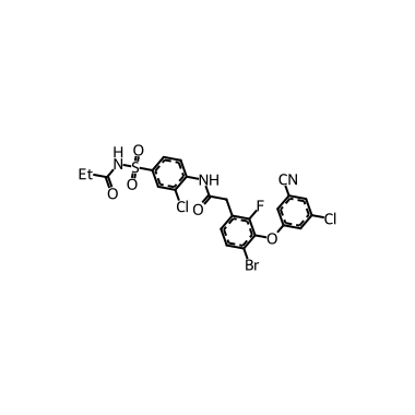 CCC(=O)NS(=O)(=O)c1ccc(NC(=O)Cc2ccc(Br)c(Oc3cc(Cl)cc(C#N)c3)c2F)c(Cl)c1